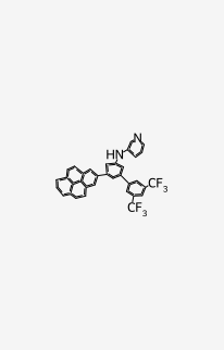 FC(F)(F)c1cc(-c2cc(Nc3cccnc3)cc(-c3cc4ccc5cccc6ccc(c3)c4c56)c2)cc(C(F)(F)F)c1